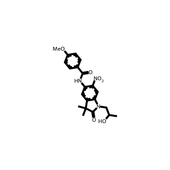 COc1ccc(C(=O)Nc2cc3c(cc2[N+](=O)[O-])N(CC(C)O)C(=O)C3(C)C)cc1